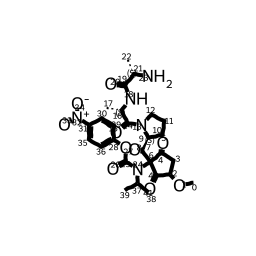 COC1CC(=O)C(C(=O)[C@@H]2CCCN2C(=O)[C@H](C)NC(=O)[C@H](C)N)(N(C(=O)Oc2ccc([N+](=O)[O-])cc2)C(C)C)C1=O